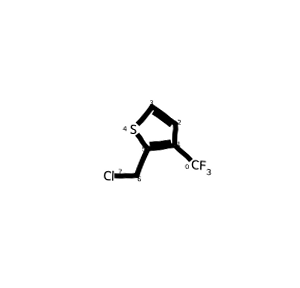 FC(F)(F)c1ccsc1CCl